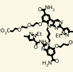 CCn1nc(C)cc1C(=O)Nc1nc2cc(C(N)=O)cc(OCCCO)c2n1CC=CCn1c2nc(-c3cc(C)nn3CC)ncc2c2cc(C(N)=O)cc(OCCOCCOCCC(=O)O)c21